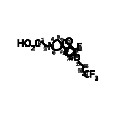 O=C(O)CCN1CCC2(CC1)COc1c2ccc(OCCCC(F)(F)F)c1F